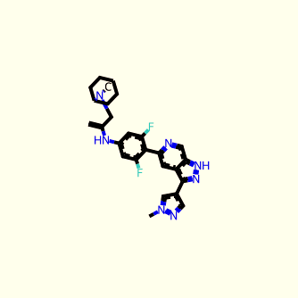 C=C(CN1CC2CCC1CC2)Nc1cc(F)c(-c2cc3c(-c4cnn(C)c4)n[nH]c3cn2)c(F)c1